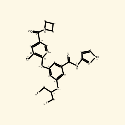 O=C(Nc1cc[nH]n1)c1cc(Oc2ncc(C(=O)N3CCC3)cc2Cl)cc(OC(CF)CF)c1